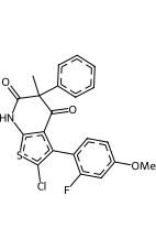 COc1ccc(-c2c(Cl)sc3c2C(=O)C(C)(c2ccccc2)C(=O)N3)c(F)c1